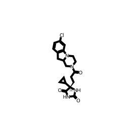 O=C1NC(=O)[C@](CCC(=O)N2CCN3c4cc(Cl)ccc4CC3C2)(C2CC2)N1